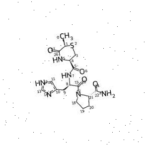 C[C@H]1SC[C@@H](C(=O)N[C@H](Cc2c[nH]cn2)C(=O)N2CCC[C@H]2C(N)=O)NC1=O